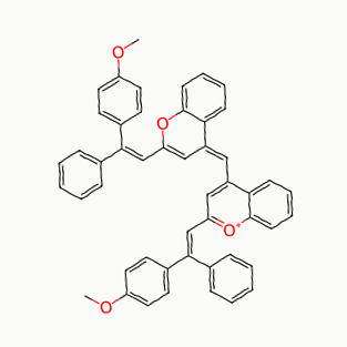 COc1ccc(C(=CC2=CC(=Cc3cc(C=C(c4ccccc4)c4ccc(OC)cc4)[o+]c4ccccc34)c3ccccc3O2)c2ccccc2)cc1